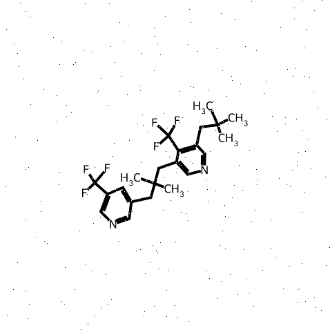 CC(C)(C)Cc1cncc(CC(C)(C)Cc2cncc(C(F)(F)F)c2)c1C(F)(F)F